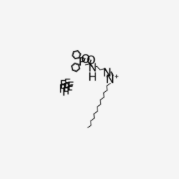 CCCCCCCCCCCCCC[n+]1ccn(CCCNC(=O)CP(=O)(c2ccccc2)c2ccccc2)c1.F[P-](F)(F)(F)(F)F